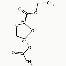 CCOC(=O)[C@@H]1OC[C@@H](OC(C)=O)O1